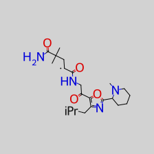 CC(C)Cc1nc(C2CCCCN2C)oc1C(=O)CNC(=O)[CH]CC(C)(C)C(N)=O